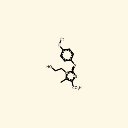 CCOc1ccc(/N=c2/sc(C(=O)O)c(C)n2CCO)cc1